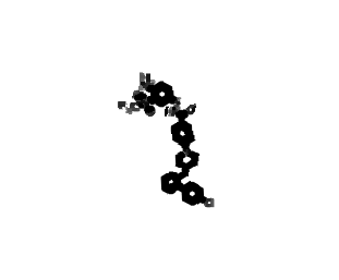 Nc1ccc(SNC(=O)c2ccc(N3CCC(Cc4ccccc4-c4ccc(Cl)cc4)CC3)cc2)cc1S(=O)(=O)C(F)(F)F